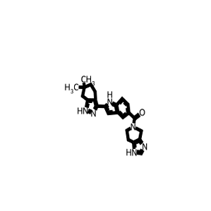 CC1(C)CCc2c(-c3cc4cc(C(=O)N5CCc6[nH]cnc6C5)ccc4[nH]3)n[nH]c2C1